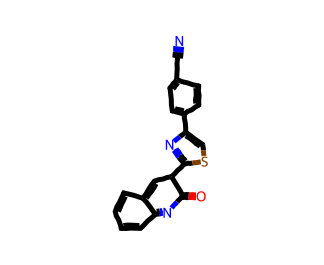 N#Cc1ccc(-c2csc(C3C=c4ccccc4=NC3=O)n2)cc1